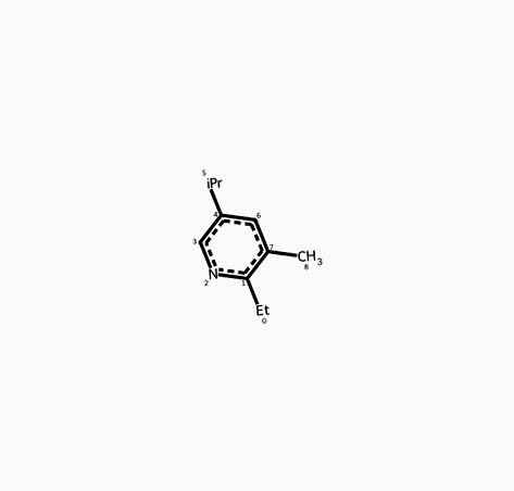 CCc1ncc(C(C)C)cc1C